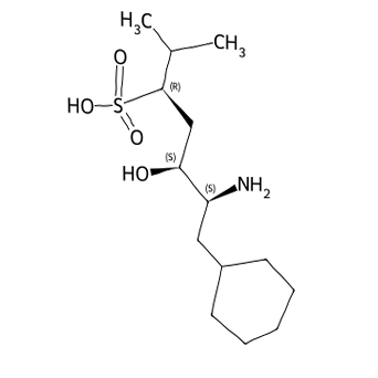 CC(C)[C@@H](C[C@H](O)[C@@H](N)CC1CCCCC1)S(=O)(=O)O